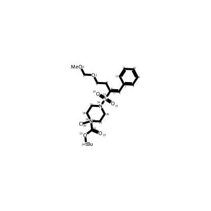 COCOCC/C(=C\c1ccccc1)S(=O)(=O)N1CC[N+](Cl)(C(=O)OC(C)(C)C)CC1